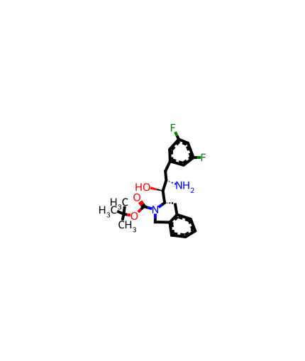 CC(C)(C)OC(=O)N1Cc2ccccc2C[C@H]1[C@@H](O)[C@@H](N)Cc1cc(F)cc(F)c1